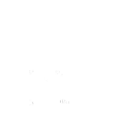 CCC(C(=O)OC(C)c1ccccc1)C(C)(C)C